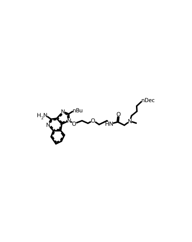 CCCCCCCCCCCCCN(C)CC(=O)NCCOCCOn1c(CCCC)nc2c(N)nc3ccccc3c21